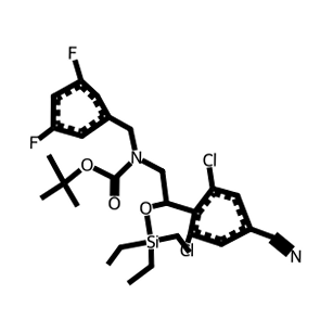 CC[Si](CC)(CC)OC(CN(Cc1cc(F)cc(F)c1)C(=O)OC(C)(C)C)c1c(Cl)cc(C#N)cc1Cl